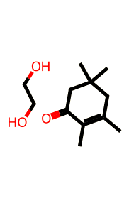 CC1=C(C)C(=O)CC(C)(C)C1.OCCO